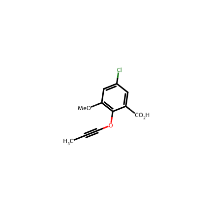 CC#COc1c(OC)cc(Cl)cc1C(=O)O